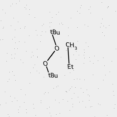 CC(C)(C)OOC(C)(C)C.CCC